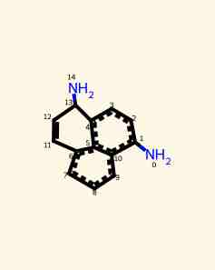 Nc1ccc2c3c(cccc13)C=CC2N